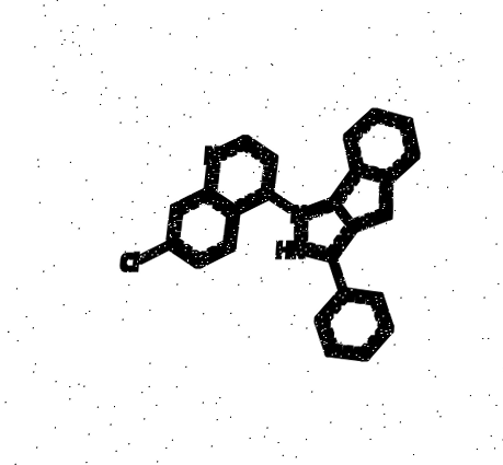 Clc1ccc2c(-n3[nH]c(-c4ccccc4)c4cc5ccccc5c3-4)ccnc2c1